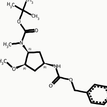 CO[C@@H]1C[C@H](NC(=O)OCc2ccccc2)C[C@@H]1N(C)C(=O)OC(C)(C)C